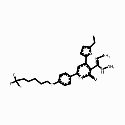 CCc1ccc(-c2cc(-c3ccc(OCCCCCC(F)(F)F)cc3)[nH]c(=O)c2/C(=N/N)NN)s1